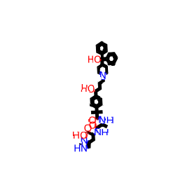 CC(NC(=O)C(C)(C)c1ccc(C(O)CCCN2CCC(C(O)(c3ccccc3)c3ccccc3)CC2)cc1)C(=O)NC(Cc1c[nH]cn1)C(=O)O